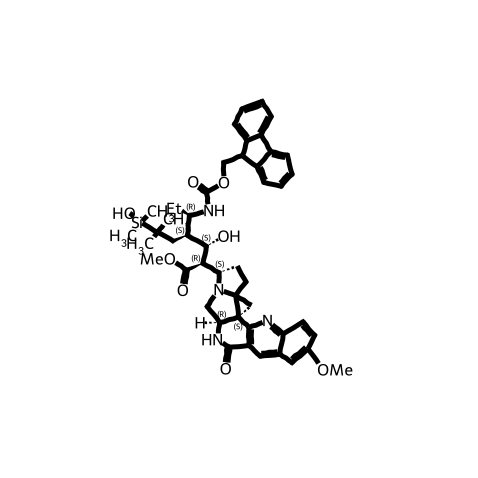 CC[C@@H](NC(=O)OCC1c2ccccc2-c2ccccc21)[C@H](CC(C)(C)[Si](C)(C)O)[C@H](O)[C@H](C(=O)OC)[C@@H]1CCC23C[C@@]24c2nc5ccc(OC)cc5cc2C(=O)N[C@H]4CN13